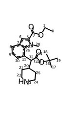 CCOC(=O)c1cc2cccc(C(C(=O)OC(C)(C)C)C3CCNCC3)c2n1C